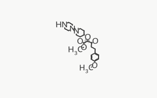 COC(=O)[C@@H](OC1CCN(N2CCNCC2)CC1)C(=O)CCc1ccc(OC)cc1